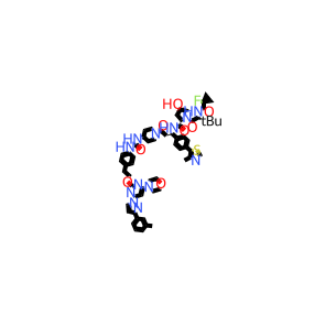 Cc1cccc(-c2ccn(-c3cc(N4CCOCC4)nc(OCCc4ccc(NC(=O)NC5CCN(C(=O)C[C@H](NC(=O)[C@@H]6C[C@@H](O)CN6C(=O)[C@@H](NC(=O)C6(F)CC6)C(C)(C)C)c6ccc(-c7scnc7C)cc6)CC5)cc4)n3)n2)c1